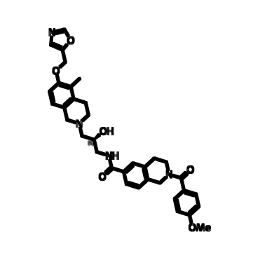 COc1ccc(C(=O)N2CCc3cc(C(=O)NC[C@H](O)CN4CCc5c(ccc(OCc6cnco6)c5C)C4)ccc3C2)cc1